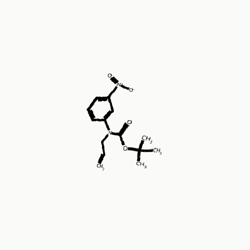 C=CCN(C(=O)OC(C)(C)C)c1cccc([N+](=O)[O-])c1